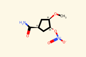 CO[C@@H]1C[C@H](C(N)=O)C[C@H]1O[N+](=O)[O-]